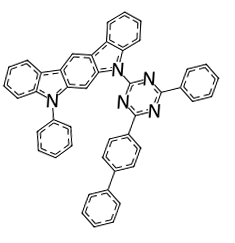 c1ccc(-c2ccc(-c3nc(-c4ccccc4)nc(-n4c5ccccc5c5cc6c7ccccc7n(-c7ccccc7)c6cc54)n3)cc2)cc1